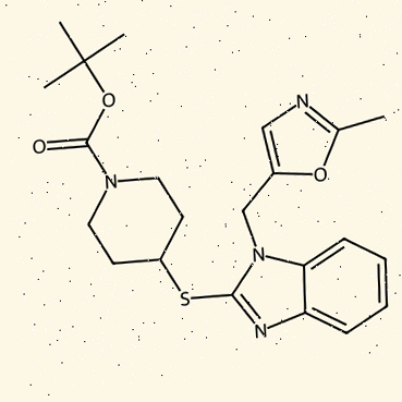 Cc1ncc(Cn2c(SC3CCN(C(=O)OC(C)(C)C)CC3)nc3ccccc32)o1